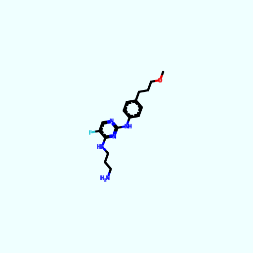 COCCCc1ccc(Nc2ncc(F)c(NCCCN)n2)cc1